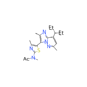 CCC(CC)c1cc(C)nn2c(-c3sc(N(C)C(C)=O)nc3C)c(C)nc12